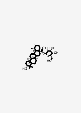 C[C@H]1[C@H](C)CC[C@]2(C(=O)O[C@@H]3O[C@H](CO)[C@@H](O)[C@H](O)[C@H]3O)CC[C@]3(C)C(=CC[C@@H]4[C@@]5(C)CC[C@H](O)C(C)(C)C5CC[C@]43C)[C@H]12